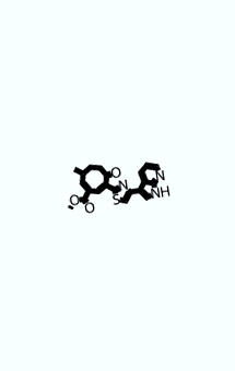 COC(=O)C1=C/C(C)CCC(=O)/C(c2nc(-c3c[nH]c4ncccc34)cs2)=C\1